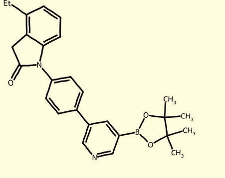 CCc1cccc2c1CC(=O)N2c1ccc(-c2cncc(B3OC(C)(C)C(C)(C)O3)c2)cc1